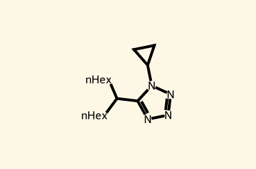 CCCCCCC(CCCCCC)c1nnnn1C1CC1